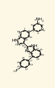 Nc1cncc(-c2cnc3[nH]nc(-c4nc5c(-c6ccc(F)cc6)cccc5[nH]4)c3c2)c1